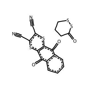 N#Cc1sc2c(=O)c3ccccc3c(=O)c=2sc1C#N.O=C1CCCSS1